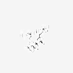 C[Si](C)(C)CCOCN1C(=O)COc2ncc(N3CC(CCNC(=O)O)OC3=O)nc21